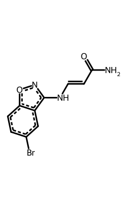 NC(=O)C=CNc1noc2ccc(Br)cc12